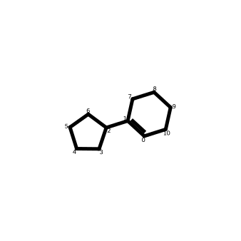 [C]1=C(C2CCCC2)CCCC1